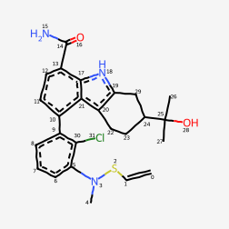 C=CSN(C)c1cccc(-c2ccc(C(N)=O)c3[nH]c4c(c23)CCC(C(C)(C)O)C4)c1Cl